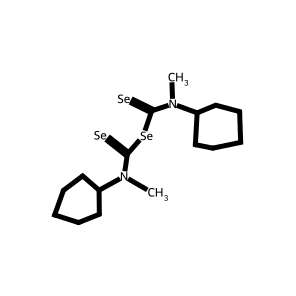 CN(C(=[Se])[Se]C(=[Se])N(C)C1CCCCC1)C1CCCCC1